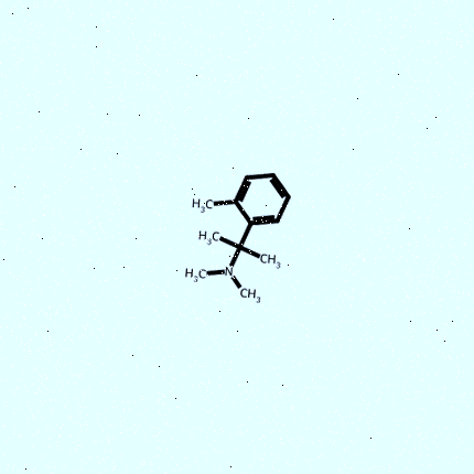 Cc1ccccc1C(C)(C)N(C)C